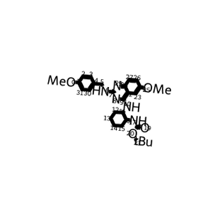 COc1ccc(CNc2nc(NC3CCCCC3NC(=O)OC(C)(C)C)c3cc(OC)ccc3n2)cc1